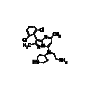 Cc1cc(N(CCN)C2CCNCC2)n2nc(C)c(-c3c(Cl)cccc3Cl)c2n1